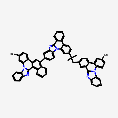 CC(C)(C)c1ccc2c(c1)c1ccc(CC(C)(C)c3ccc4c5ccccc5c5nc6cc(-c7cc8c9ccc(C(C)(C)C)cc9n9c%10ccccc%10nc9c8c8ccccc78)ccc6n5c4c3)cc1c1nc3ccccc3n21